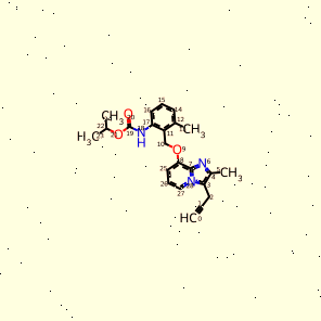 C#CCc1c(C)nc2c(OCc3c(C)cccc3NC(=O)OC(C)C)cccn12